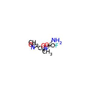 COc1ccc(-c2ccc([C@H](C)N3CC[C@](CCCN)(c4ccc(F)cc4)OC3=O)cc2)cn1